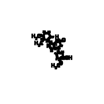 COc1ccc(C2CC(=O)Nc3c2cnn3-c2cccc(C)c2C)cc1O